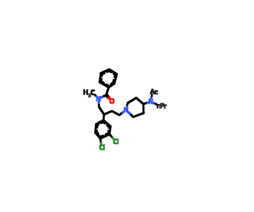 CCCN(C(C)=O)C1CCN(CCC(CN(C)C(=O)c2ccccc2)c2ccc(Cl)c(Cl)c2)CC1